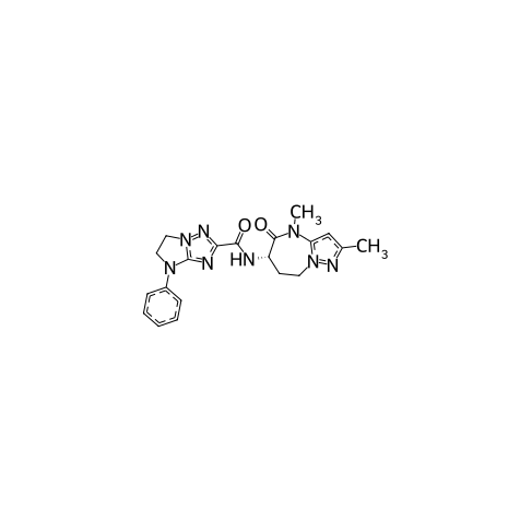 Cc1cc2n(n1)CC[C@H](NC(=O)c1nc3n(n1)CCN3c1ccccc1)C(=O)N2C